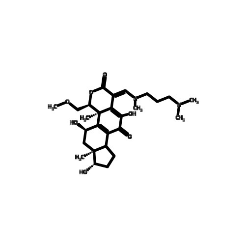 COC[C@H]1OC(=O)/C(=C/N(C)CCCN(C)C)C2=C(O)C(=O)C3=C([C@H](O)C[C@@]4(C)C3CC[C@@H]4O)[C@]21C